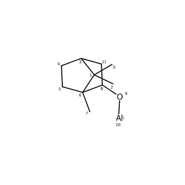 CC1(C)C2CCC1(C)C([O][Al])C2